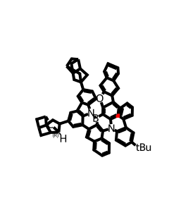 CC(C)(C)c1ccc(N2c3ccc4c(oc5cc6ccccc6cc54)c3B3c4c(cc5ccccc5c42)-c2cc(C4CC56C7CC5C[C@@H]4C6C7)cc4c5cc(C67CC8CC9CC8(C6)C9C7)ccc5n3c24)c(-c2ccccc2)c1